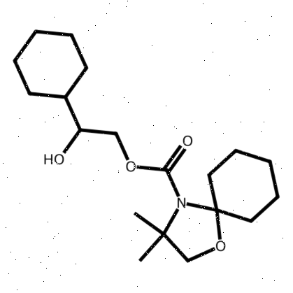 CC1(C)COC2(CCCCC2)N1C(=O)OCC(O)C1CCCCC1